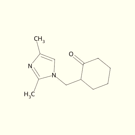 Cc1cn(CC2CCCCC2=O)c(C)n1